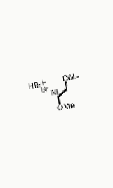 Br.Br.COCCOC.[Ni]